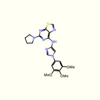 COc1cc(-n2cnc(Nc3nc(N4CCCC4)nc4scnc34)c2)cc(OC)c1OC